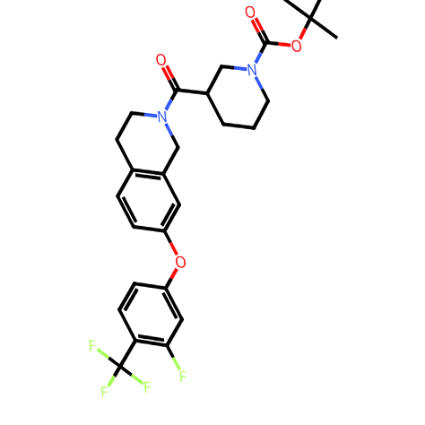 CC(C)(C)OC(=O)N1CCCC(C(=O)N2CCc3ccc(Oc4ccc(C(F)(F)F)c(F)c4)cc3C2)C1